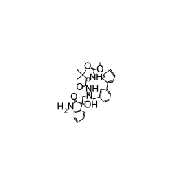 COC(=O)N[C@H](C(=O)NN(Cc1cccc(-c2ccccc2)c1)C[C@](O)(C(N)=O)c1ccccc1)C(C)(C)C